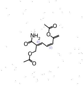 C=C(/C=C\C=C(/COC(C)=O)C(N)=O)OC(C)=O